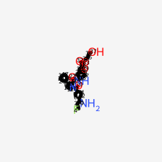 N[C@H](CCF)[C@H]1CC[C@H](C(=O)N2CC[C@@H](C3CCCCC3)[C@H]2C(=O)Nc2ccc3oc(C(=O)OCCCO)cc3c2)CC1